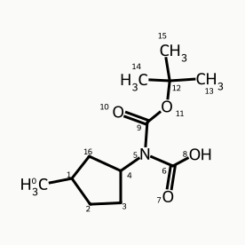 CC1CCC(N(C(=O)O)C(=O)OC(C)(C)C)C1